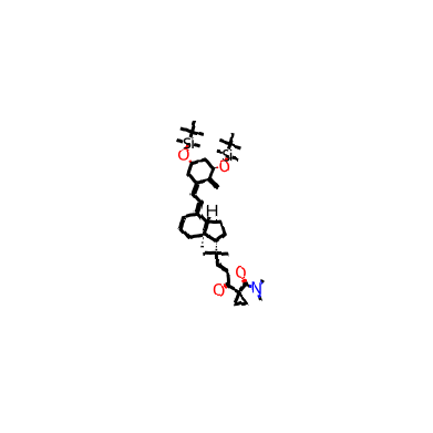 C=C1/C(=C\C=C2/CCC[C@]3(C)[C@@H](C(C)(C)/C=C/C(=O)C4(C(=O)N(C)C)CC4)CC[C@@H]23)C[C@@H](O[Si](C)(C)C(C)(C)C)C[C@@H]1O[Si](C)(C)C(C)(C)C